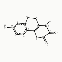 CN1C(=O)C(=O)CC2=C1CCc1cc(Br)ccc12